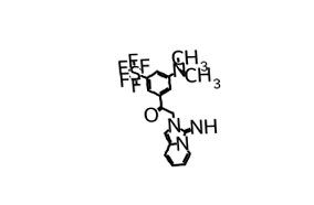 CN(C)c1cc(C(=O)Cn2cc3ccccn3c2=N)cc(S(F)(F)(F)(F)F)c1